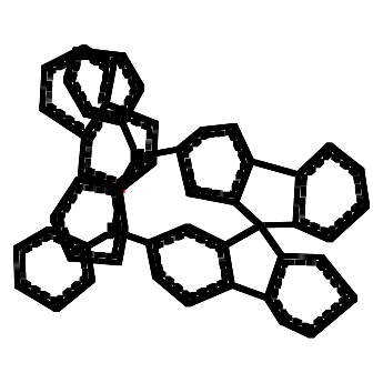 c1ccc(N(c2ccccc2)c2ccc3c(c2)C2(c4ccccc4-3)c3ccccc3-c3ccc(N(c4ccccc4)c4ccc5ccccc5c4)cc32)cc1